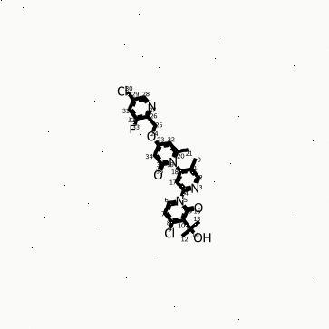 Cc1cnc(-n2ccc(Cl)c(C(C)(C)O)c2=O)cc1-n1c(C)cc(OCc2ncc(Cl)cc2F)cc1=O